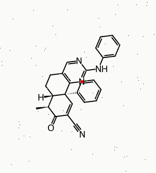 C[C@@H]1C(=O)C(C#N)=C[C@]2(c3ccccc3)c3nc(Nc4ccccc4)ncc3CC[C@@H]12